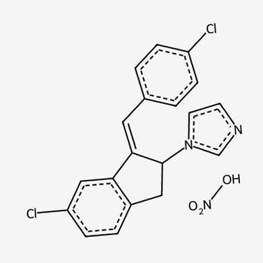 Clc1ccc(C=C2c3cc(Cl)ccc3CC2n2ccnc2)cc1.O=[N+]([O-])O